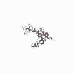 CCc1cccc(CC)c1-n1nc2c(c1-c1c(F)cc(COC(=O)CNC(=O)[C@@H](N)C(C)C)c3[nH]ccc13)CN(c1ncc(C(F)(F)F)cn1)CC2.Cl